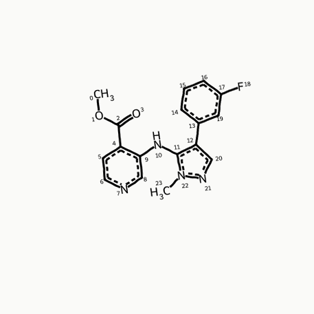 COC(=O)c1ccncc1Nc1c(-c2cccc(F)c2)cnn1C